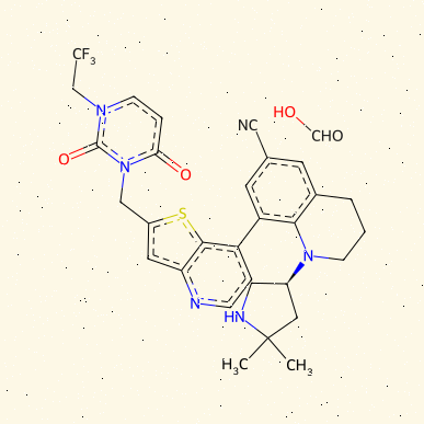 CC1(C)C[C@H](N2CCCc3cc(C#N)cc(-c4ccnc5cc(Cn6c(=O)ccn(CC(F)(F)F)c6=O)sc45)c32)CN1.O=CO